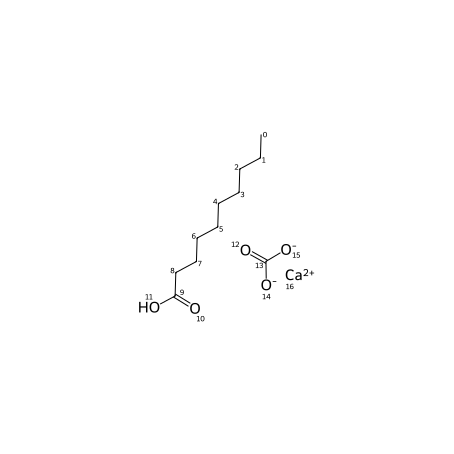 CCCCCCCCCC(=O)O.O=C([O-])[O-].[Ca+2]